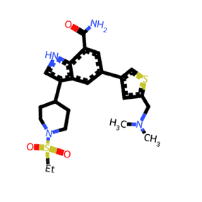 CCS(=O)(=O)N1CCC(c2c[nH]c3c(C(N)=O)cc(-c4csc(CN(C)C)c4)cc23)CC1